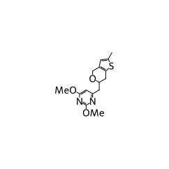 COc1cc(CC2Cc3sc(C)cc3CO2)nc(OC)n1